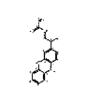 CCCC(=O)OCC(C)c1ccc2c(c1)Sc1ccccc1S2